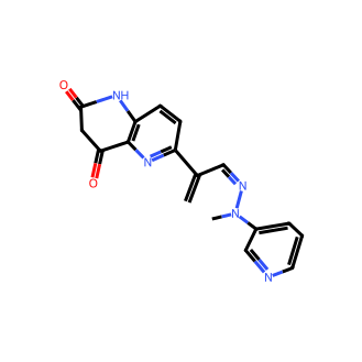 C=C(/C=N\N(C)c1cccnc1)c1ccc2c(n1)C(=O)CC(=O)N2